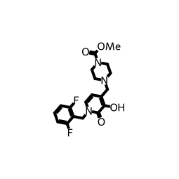 COC(=O)N1CCN(Cc2ccn(Cc3c(F)cccc3F)c(=O)c2O)CC1